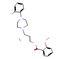 CCCCOc1ccccc1C(=O)OCCCN1CCN(c2ccccc2OC)CC1.CS(=O)(=O)O.O